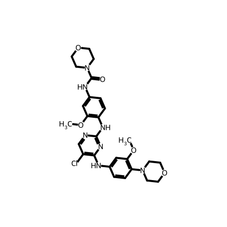 COc1cc(NC(=O)N2CCOCC2)ccc1Nc1ncc(Cl)c(Nc2ccc(N3CCOCC3)c(OC)c2)n1